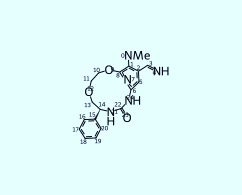 CNc1c(C=N)cc2nc1OCCOC[C@H](c1ccccc1)NC(=O)N2